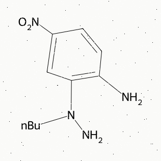 CCCCN(N)c1cc([N+](=O)[O-])ccc1N